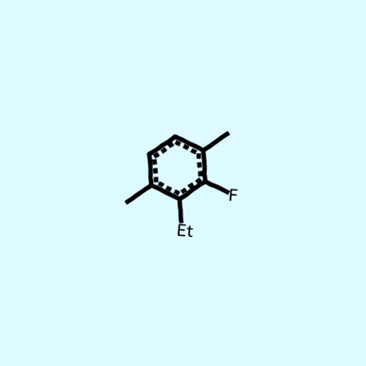 CCc1c(C)ccc(C)c1F